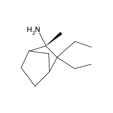 CCC1(CC)C2CCC(C2)[C@]1(C)N